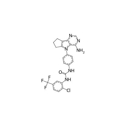 Nc1ncnc2c3c(n(-c4ccc(NC(=O)Nc5cc(C(F)(F)F)ccc5Cl)cc4)c12)CCC3